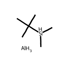 C[SiH](C)C(C)(C)C.[AlH3]